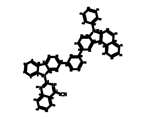 N#Cc1nc(-n2c3ccccc3c3ccc(-c4cccc(-c5ccc6c(c5)c5c7ccccc7ccc5n6-c5ccccc5)c4)cc32)nc2ccccc12